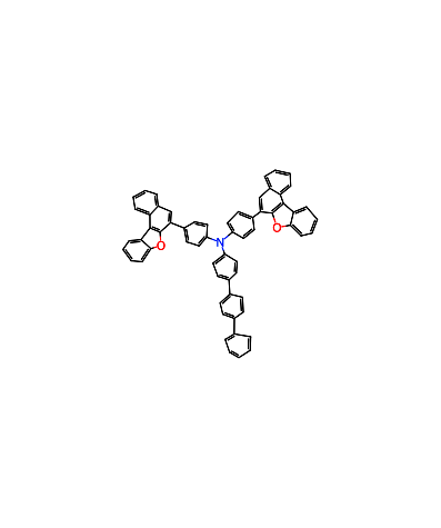 c1ccc(-c2ccc(-c3ccc(N(c4ccc(-c5cc6ccccc6c6c5oc5ccccc56)cc4)c4ccc(-c5cc6ccccc6c6c5oc5ccccc56)cc4)cc3)cc2)cc1